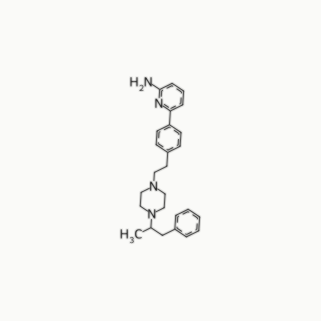 CC(Cc1ccccc1)N1CCN(CCc2ccc(-c3cccc(N)n3)cc2)CC1